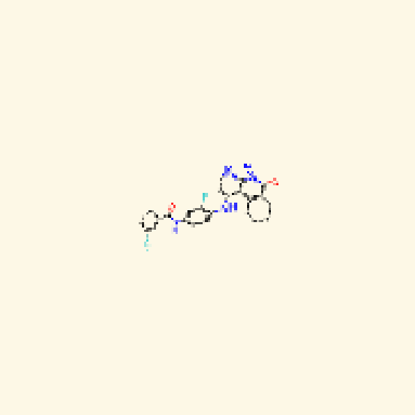 O=C(Nc1ccc(Nc2ccnc3[nH]c(=O)c4c(c23)CCCC4)c(F)c1)c1cccc(F)c1